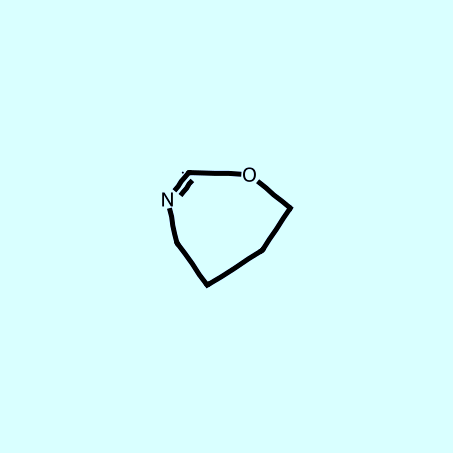 [C]1=NCCCCO1